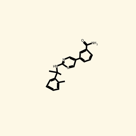 Cc1ccccc1C(C)(C)Nc1ncc(-c2cccc(C(N)=O)c2)cn1